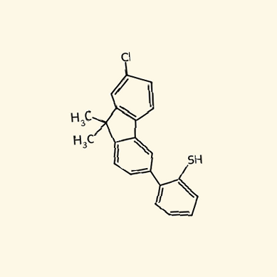 CC1(C)c2ccc(-c3ccccc3S)cc2-c2ccc(Cl)cc21